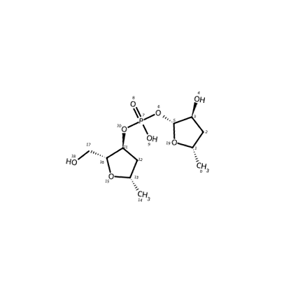 C[C@H]1C[C@H](O)[C@@H](OP(=O)(O)O[C@H]2C[C@H](C)O[C@@H]2CO)O1